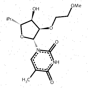 COCCO[C@@H]1[C@H](O)[C@@H](C(C)C)O[C@H]1n1cc(C)c(=O)[nH]c1=O